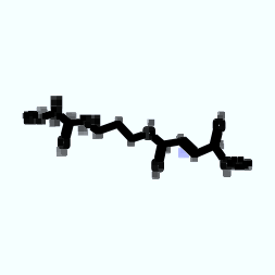 COC(=O)/C=C/C(=O)OCCCNC(=O)NC(C)(C)C